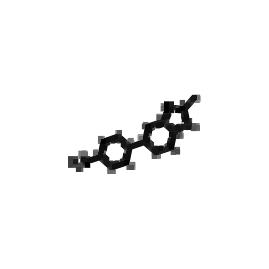 Cc1nc2cc(-c3ccc(N)cc3)ccc2s1